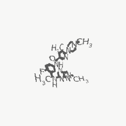 CCn1cc2ncc(N[C@@H](C)c3cc(NC(=O)c4cnc(N5CCN(C)CC5)c(C)c4)ccc3F)nc2n1